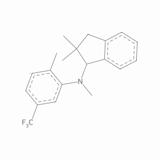 Cc1[c]cc(C(F)(F)F)cc1N(C)C1c2ccccc2CC1(C)C